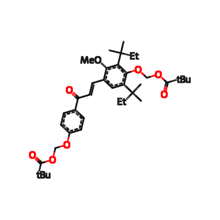 CCC(C)(C)c1cc(/C=C/C(=O)c2ccc(OCOC(=O)C(C)(C)C)cc2)c(OC)c(C(C)(C)CC)c1OCOC(=O)C(C)(C)C